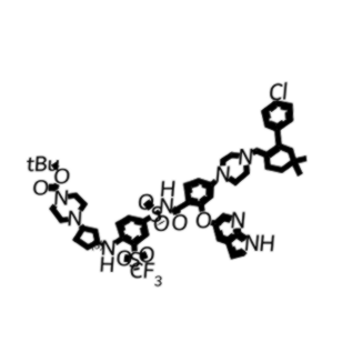 CC1(C)CCC(CN2CCN(c3ccc(C(=O)NS(=O)(=O)c4ccc(N[C@H]5CCC(N6CCN(C(=O)OC(C)(C)C)CC6)C5)c(S(=O)(=O)C(F)(F)F)c4)c(Oc4cnc5[nH]ccc5c4)c3)CC2)=C(c2ccc(Cl)cc2)C1